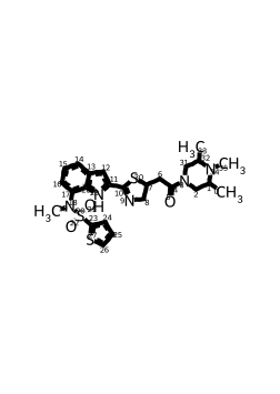 CC1CN(C(=O)CC2CN=C(c3cc4cccc(N(C)S(=O)(=O)c5cccs5)c4[nH]3)S2)CC(C)N1C